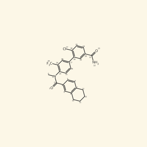 CN(C(=O)c1ccc2c(c1)CCCC2)c1ccc(-c2cc(C(N)=O)ccc2Cl)cc1C(F)(F)F